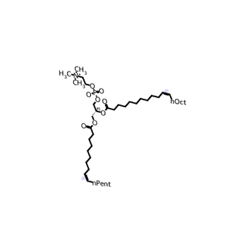 CCCCC/C=C\CCCCCCCC(=O)OC[C@H](COP(=O)([O-])OCC[N+](C)(C)C)OC(=O)CCCCCCCCC/C=C\CCCCCCCC